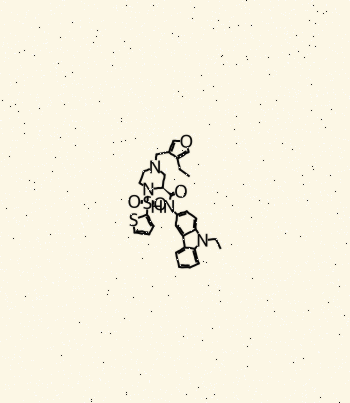 CCc1cocc1CN1CCN(S(=O)(=O)c2cccs2)[C@H](C(=O)Nc2ccc3c(c2)c2ccccc2n3CC)C1